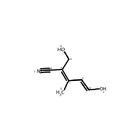 CC(/C=C/O)=C(\C#N)CO